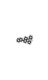 c1ccc2c(c1)Oc1ccccc1N2c1cccc2c(-c3ccc4ncccc4c3)cccc12